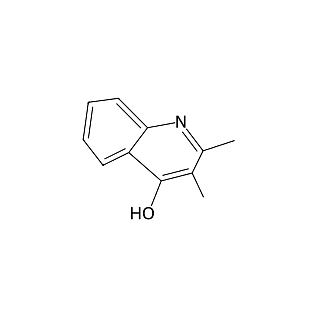 Cc1nc2ccccc2c(O)c1C